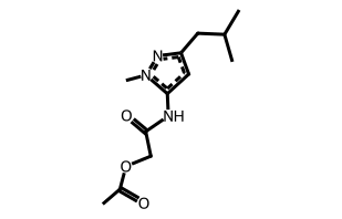 CC(=O)OCC(=O)Nc1cc(CC(C)C)nn1C